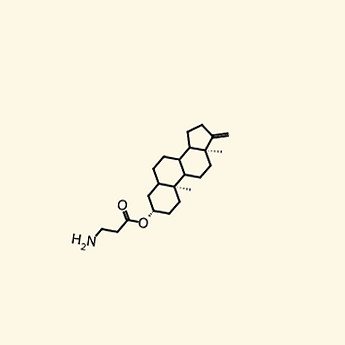 C=C1CCC2C3CCC4C[C@@H](OC(=O)CCN)CC[C@]4(C)C3CC[C@]12C